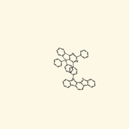 c1ccc(-c2nc(-c3ccc(-n4c5ccccc5c5ccc6c7ccccc7sc6c54)cc3)c3c(n2)-c2ccccc2[Si]3(c2ccccc2)c2ccccc2)cc1